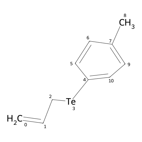 C=CC[Te]c1ccc(C)cc1